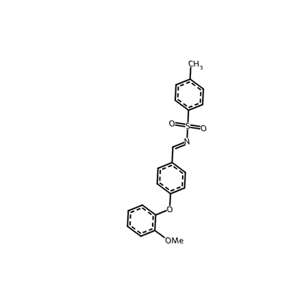 COc1ccccc1Oc1ccc(/C=N/S(=O)(=O)c2ccc(C)cc2)cc1